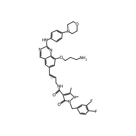 Cc1c(C(=O)NC/C=C/c2cc(OCCCN)c3nc(Nc4ccc(N5CCOCC5)cc4)ncc3c2)c(=O)n(Cc2ccc(F)c(F)c2)n1C